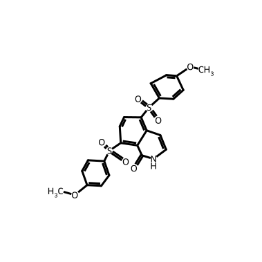 COc1ccc(S(=O)(=O)c2ccc(S(=O)(=O)c3ccc(OC)cc3)c3c(=O)[nH]ccc23)cc1